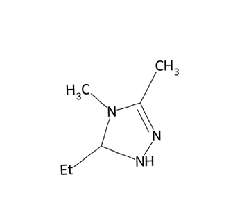 CCC1NN=C(C)N1C